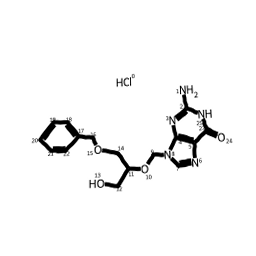 Cl.Nc1nc2c(ncn2COC(CO)COCc2ccccc2)c(=O)[nH]1